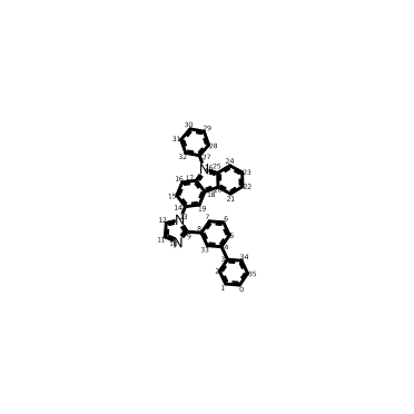 c1ccc(-c2cccc(-c3nccn3-c3ccc4c(c3)c3ccccc3n4-c3ccccc3)c2)cc1